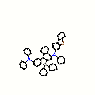 c1ccc(N(c2ccccc2)c2ccc3c(c2)-c2c(cc(N(c4ccccc4)c4ccc5c(c4)sc4ccccc45)c4ccccc24)[Si]3(c2ccccc2)c2ccccc2)cc1